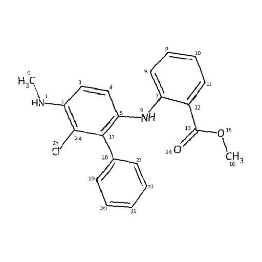 CNc1ccc(Nc2ccccc2C(=O)OC)c(-c2ccccc2)c1Cl